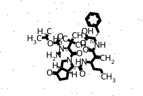 C=C(C(=O)N[C@@H](Cc1ccccc1)C(=O)O)C(CCC)NC(=O)[C@@H]1[C@H]2CCC(=O)[C@H]2CN1C(=O)[C@@H](N(N)C(=O)OC(C)C)C(C)(C)C